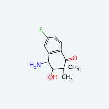 CC1(C)C(=O)c2ccc(F)cc2C(N)C1O